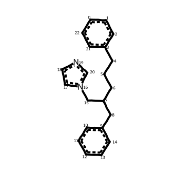 c1ccc(CCCC(Cc2ccccc2)Cn2ccnc2)cc1